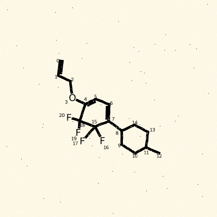 C=CCOC1=CC=C(C2CCC(C)CC2)C(F)(F)C1(F)F